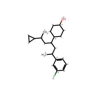 CC(CC(CC(C)C1CC1)C1CCC(O)CC1)c1cccc(F)c1